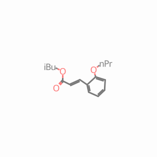 CCCOc1ccccc1C=CC(=O)OC(C)CC